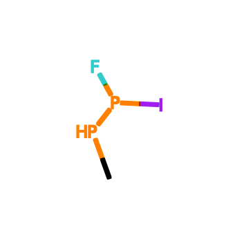 CPP(F)I